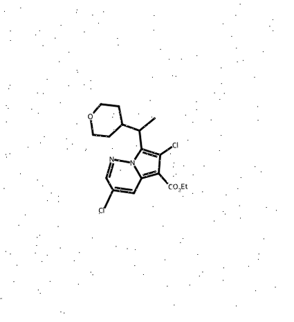 CCOC(=O)c1c(Cl)c(C(C)C2CCOCC2)n2ncc(Cl)cc12